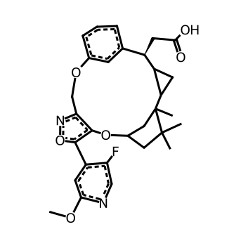 COc1cc(-c2onc3c2OC2CC(C)(C)C(C)(C2)C2CC2[C@H](CC(=O)O)c2cccc(c2)OC3)c(F)cn1